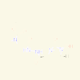 CC(C)(C)OC(=O)N1CCCC1C(=O)NNC(=O)[C@@H]1CC[C@@H]2CN1C(=O)N2O